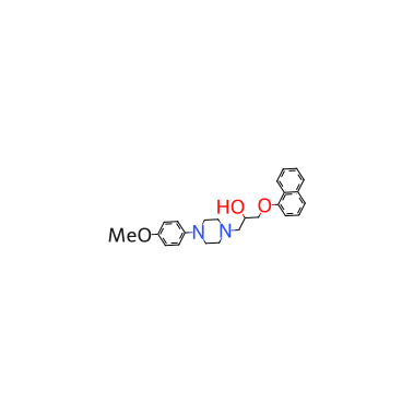 COc1ccc(N2CCN(CC(O)COc3cccc4ccccc34)CC2)cc1